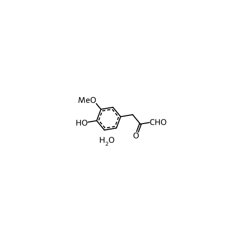 COc1cc(CC(=O)C=O)ccc1O.O